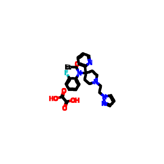 CCC(=O)N(c1ccccc1F)C1(c2ccccn2)CCN(CCn2cccn2)CC1.O=C(O)C(=O)O